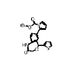 CC(C)(C)OC(=O)n1cccc1-c1ccc2c(c1)C(c1cccs1)OCC(=O)N2